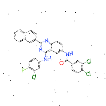 O=C(Nc1ccc2nc(-c3ccc4ccccc4c3)nc(Nc3ccc(F)c(Cl)c3)c2c1)c1ccc(Cl)c(Cl)c1